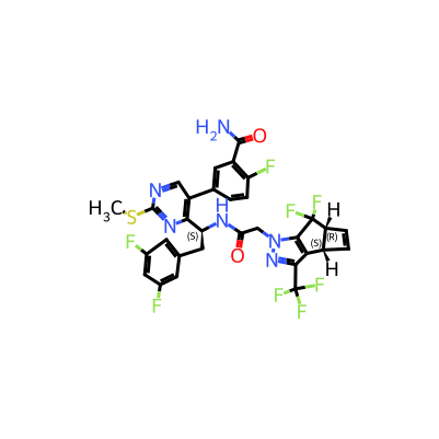 CSc1ncc(-c2ccc(F)c(C(N)=O)c2)c([C@H](Cc2cc(F)cc(F)c2)NC(=O)Cn2nc(C(F)(F)F)c3c2C(F)(F)[C@@H]2C=C[C@H]32)n1